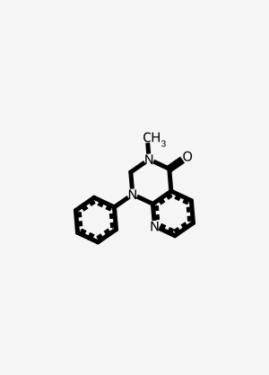 CN1CN(c2ccccc2)c2ncccc2C1=O